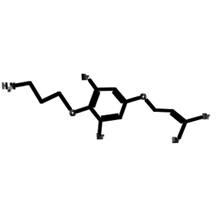 NCCCOc1c(Br)cc(OCC=C(Br)Br)cc1Br